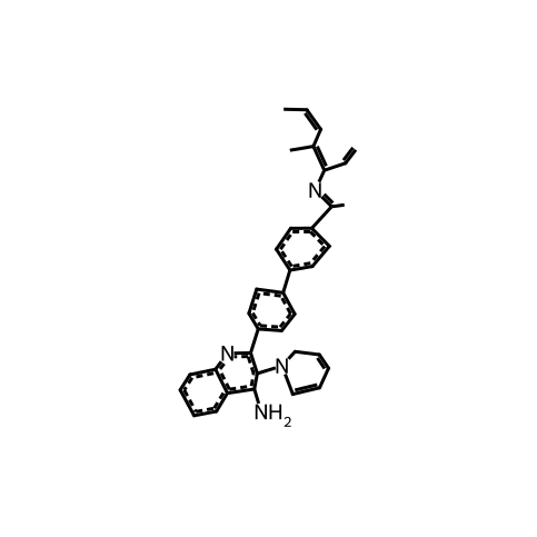 C=CC(/N=C(\C)c1ccc(-c2ccc(-c3nc4ccccc4c(N)c3N3C=CC=CC3)cc2)cc1)=C(C)\C=C/C